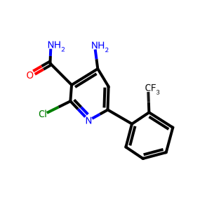 NC(=O)c1c(N)cc(-c2ccccc2C(F)(F)F)nc1Cl